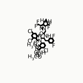 Cn1nc(NS(C)(=O)=O)c2c(Cl)ccc(-n3c(C(Cc4cc(F)cc(F)c4)NC(=O)Cn4nc(C(F)F)c5c4C(F)(F)[C@@H]4C[C@H]54)nc4cc(Cl)cc(Cl)c4c3=O)c21